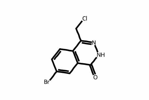 O=c1[nH]nc(CCl)c2ccc(Br)cc12